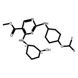 COC(=O)c1cnc(NC2CCC(OC(F)F)CC2)nc1N[C@@H]1CCC[C@H](O)C1